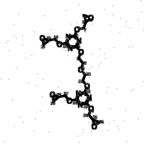 C(COc1nc(OCC2CO2)nc(OCC2CO2)n1)OCCOc1nc(OCC2CO2)nc(OCC2CO2)n1